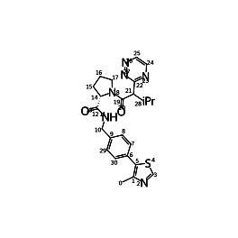 Cc1ncsc1-c1ccc(CNC(=O)[C@@H]2CCCN2C(=O)C(c2nccnn2)C(C)C)cc1